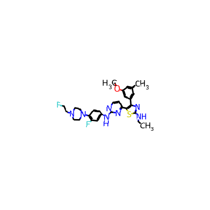 CCNc1nc(-c2cc(C)cc(OC)c2)c(-c2ccnc(Nc3ccc(N4CCN(CCF)CC4)c(F)c3)n2)s1